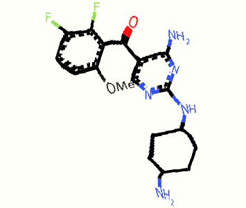 COc1ccc(F)c(F)c1C(=O)c1cnc(NC2CCC(N)CC2)nc1N